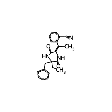 CCC1(Cc2ccccc2)NC(=O)C(=C(C)c2ccccc2C#N)NC1=O